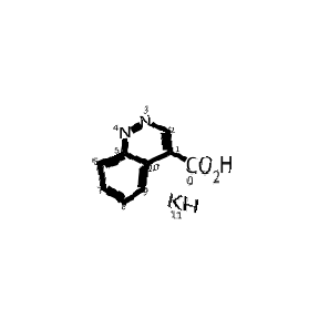 O=C(O)c1cnnc2ccccc12.[KH]